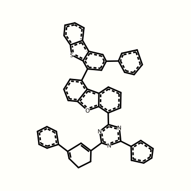 C1=C(c2ccccc2)C=C(c2nc(-c3ccccc3)nc(-c3cccc4c3oc3cccc(-c5cc(-c6ccccc6)cc6c5sc5ccccc56)c34)n2)CC1